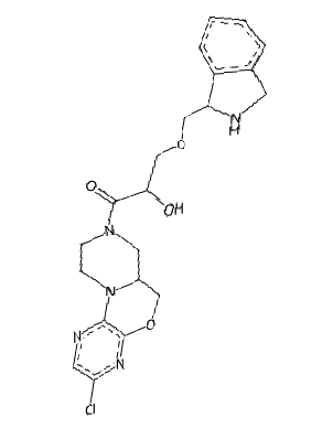 O=C(C(O)COCC1NCc2ccccc21)N1CCN2c3ncc(Cl)nc3OCC2C1